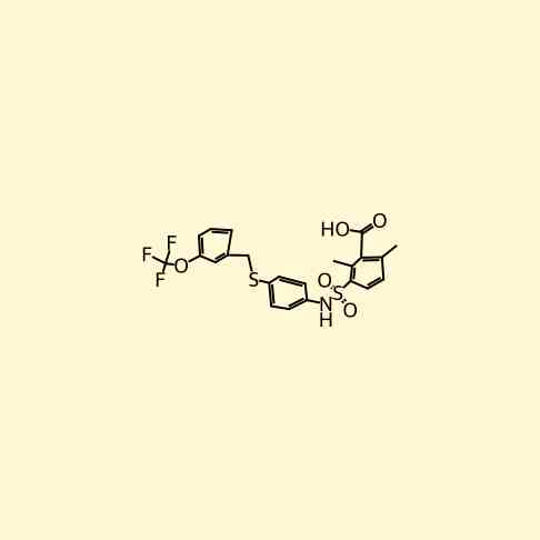 Cc1ccc(S(=O)(=O)Nc2ccc(SCc3cccc(OC(F)(F)F)c3)cc2)c(C)c1C(=O)O